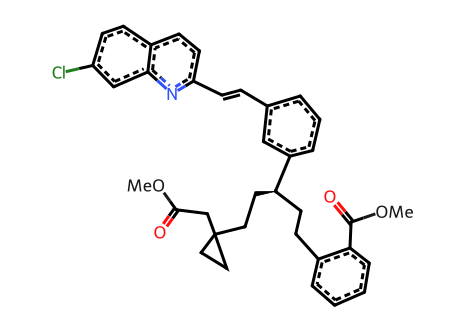 COC(=O)CC1(CC[C@H](CCc2ccccc2C(=O)OC)c2cccc(/C=C/c3ccc4ccc(Cl)cc4n3)c2)CC1